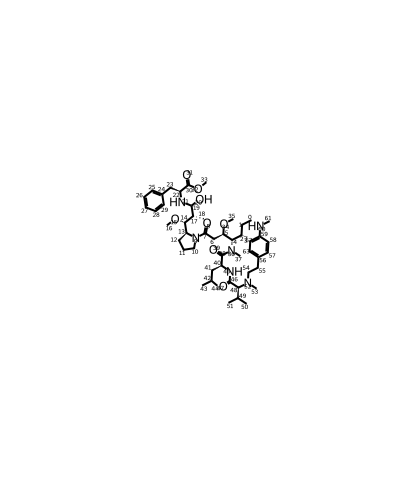 CC[C@H](C)[C@@H]([C@@H](CC(=O)N1CCC[C@H]1[C@H](OC)[C@@H](C)C(O)N[C@@H](Cc1ccccc1)C(=O)OC)OC)N(C)C(=O)[C@H](CC(C)C)NC(=O)[C@H](C(C)C)N(C)CCc1ccc(NC)cc1